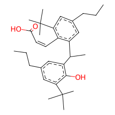 CCCc1cc(C(C)c2cc(CCC)cc(C(C)(C)C)c2C=CC(=O)O)c(O)c(C(C)(C)C)c1